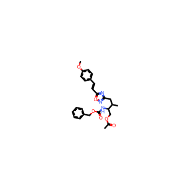 COc1ccc(C=Cc2nc(CC(C)C(COC(C)=O)NC(=O)OCc3ccccc3)no2)cc1